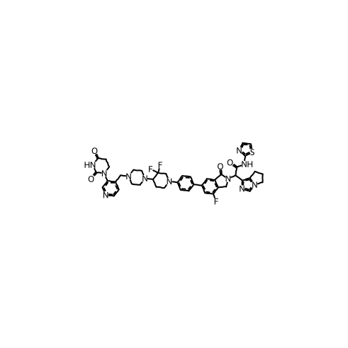 O=C1CCN(c2cnccc2CN2CCN(C3CCN(c4ccc(-c5cc(F)c6c(c5)C(=O)N(C(C(=O)Nc5nccs5)c5ncn7c5CCC7)C6)cc4)CC3(F)F)CC2)C(=O)N1